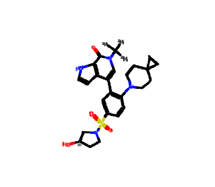 [2H]C([2H])([2H])n1cc(-c2cc(S(=O)(=O)N3CC[C@@H](O)C3)ccc2N2CCC3(CC2)CC3)c2cc[nH]c2c1=O